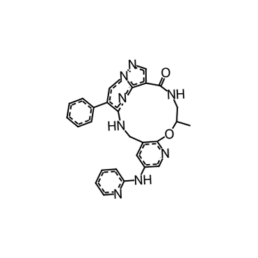 CC1CNC(=O)c2cnn3cc(-c4ccccc4)c(nc23)NCc2cc(Nc3ccccn3)cnc2O1